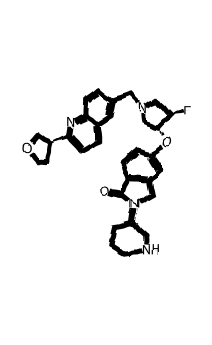 O=C1c2ccc(O[C@@H]3CN(Cc4ccc5nc([C@H]6CCOC6)ccc5c4)C[C@H]3F)cc2CN1C1CCCNC1